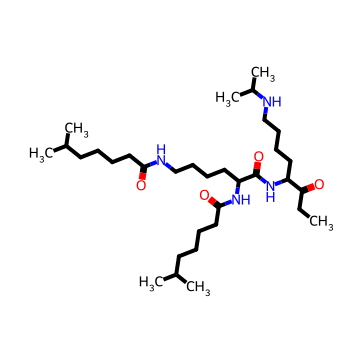 CCC(=O)C(CCCCNC(C)C)NC(=O)C(CCCCNC(=O)CCCCC(C)C)NC(=O)CCCCC(C)C